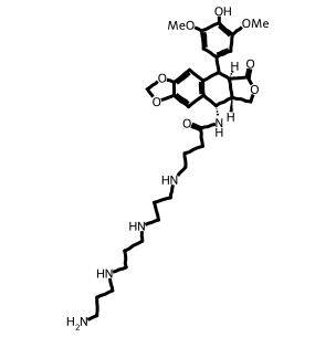 COc1cc(C2c3cc4c(cc3[C@@H](NC(=O)CCCNCCCNCCCNCCCN)[C@H]3COC(=O)[C@H]23)OCO4)cc(OC)c1O